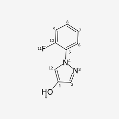 Oc1[c]nn(-c2ccccc2F)c1